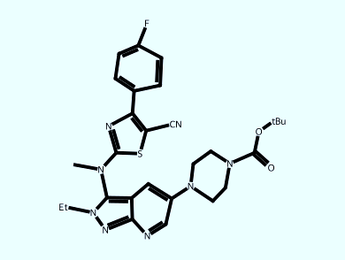 CCn1nc2ncc(N3CCN(C(=O)OC(C)(C)C)CC3)cc2c1N(C)c1nc(-c2ccc(F)cc2)c(C#N)s1